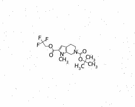 Cn1c(C(=O)OCC(F)(F)F)cc2c1CN(C(=O)OC(C)(C)C)CC2